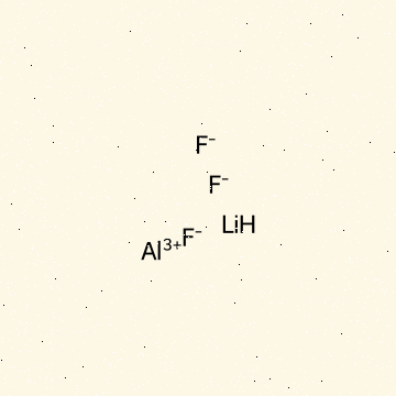 [Al+3].[F-].[F-].[F-].[LiH]